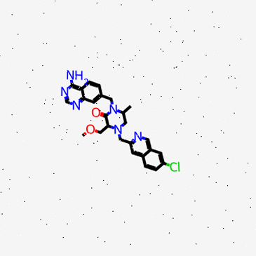 COCC1C(=O)N(Cc2ccc3c(N)ncnc3c2)C(C)CN1Cc1cc2ccc(Cl)cc2cn1